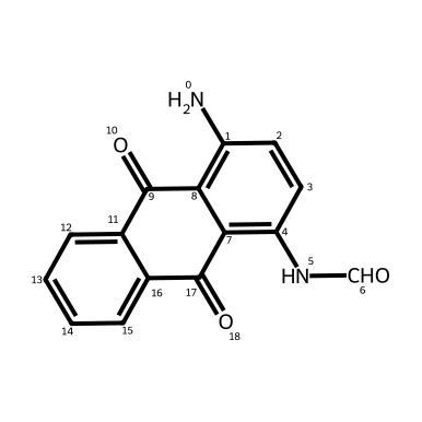 Nc1ccc(NC=O)c2c1C(=O)c1ccccc1C2=O